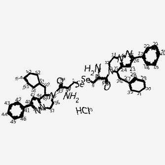 Cl.N[C@@H](C[Se][Se]C[C@H](N)C(=O)N1CCn2nc(-c3ccccc3)cc2C1CC1CCCCC1)C(=O)N1CCn2nc(-c3ccccc3)cc2C1CC1CCCCC1